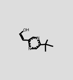 CC(C)(C)c1cnc(/C=C\O)cn1